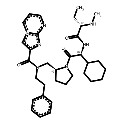 CC[C@H](NC)C(=O)N[C@H](C(=O)N1CCC[C@H]1CN(CCc1ccccc1)C(=O)c1cn2cccnc2n1)C1CCCCC1